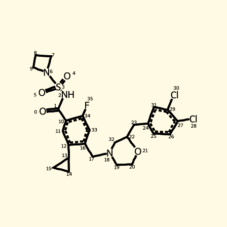 O=C(NS(=O)(=O)N1CCC1)c1cc(C2CC2)c(CN2CCOC(Cc3ccc(Cl)c(Cl)c3)C2)cc1F